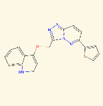 C1=C(OCc2nnc3ccc(-c4cccs4)nn23)c2ccccc2NC1